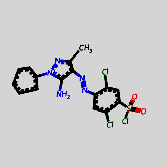 Cc1nn(-c2ccccc2)c(N)c1N=Nc1cc(Cl)c(S(=O)(=O)Cl)cc1Cl